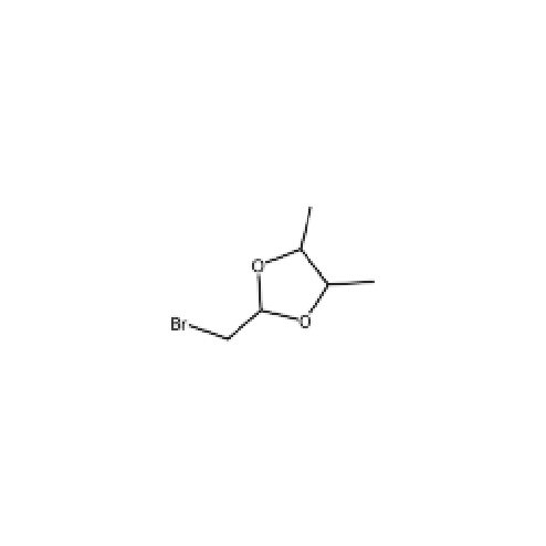 CC1OC(CBr)OC1C